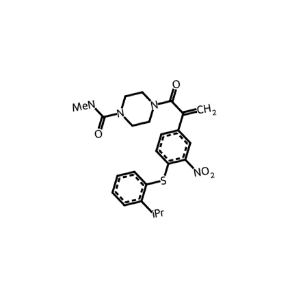 C=C(C(=O)N1CCN(C(=O)NC)CC1)c1ccc(Sc2ccccc2C(C)C)c([N+](=O)[O-])c1